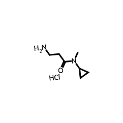 CN(C(=O)CCN)C1CC1.Cl